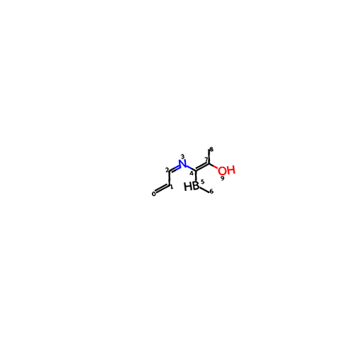 C=C/C=N\C(BC)=C(/C)O